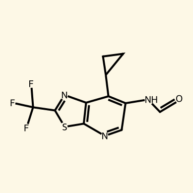 O=CNc1cnc2sc(C(F)(F)F)nc2c1C1CC1